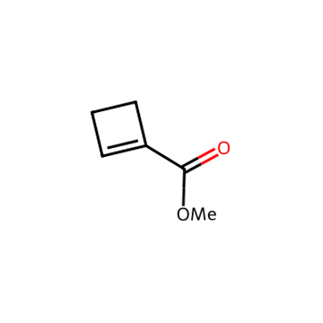 COC(=O)C1=CCC1